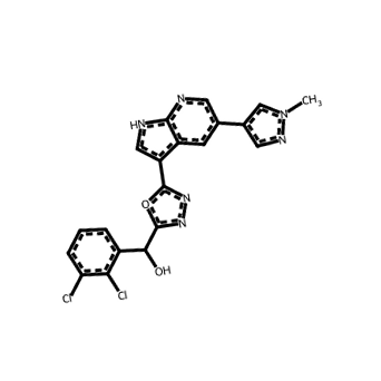 Cn1cc(-c2cnc3[nH]cc(-c4nnc(C(O)c5cccc(Cl)c5Cl)o4)c3c2)cn1